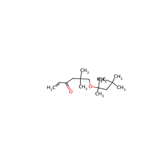 C=CC(=O)CC(C)(C)COC(C)(C)CC(C)(C)C